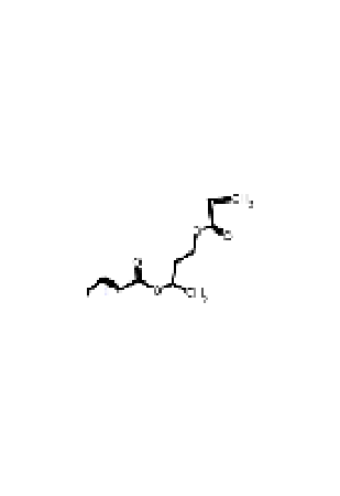 C=CC(=O)OCCC(C)OC(=O)/C=C/I